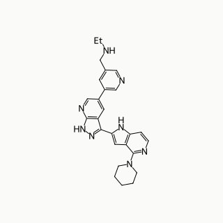 CCNCc1cncc(-c2cnc3[nH]nc(-c4cc5c(N6CCCCC6)nccc5[nH]4)c3c2)c1